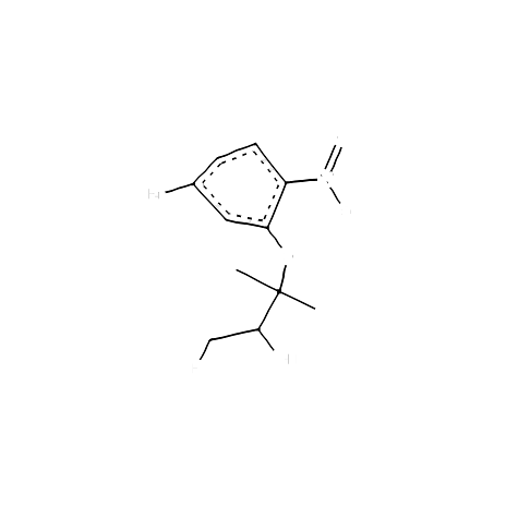 CC(C)(Oc1cc(Br)ccc1[N+](=O)[O-])C(O)CF